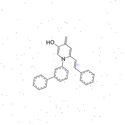 C=C1C=C(/C=C/c2ccccc2)N(c2cccc(-c3ccccc3)c2)C=C1O